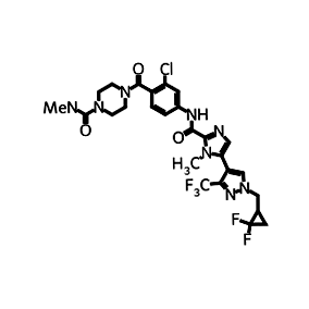 CNC(=O)N1CCN(C(=O)c2ccc(NC(=O)c3ncc(-c4cn(CC5CC5(F)F)nc4C(F)(F)F)n3C)cc2Cl)CC1